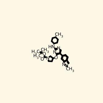 Cn1cc2ccc(-c3cnc(N[C@H]4CC[C@@H](C)CC4)nc3OC3CCN(C(=O)OC(C)(C)C)C3)cc2n1